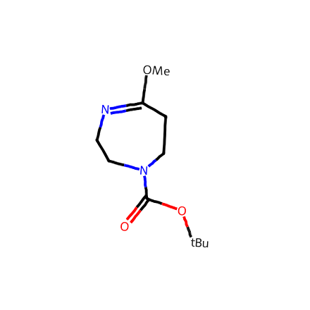 COC1=NCCN(C(=O)OC(C)(C)C)CC1